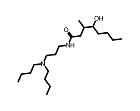 CCCCC(O)C(C)CC(=O)NCCCN(CCCC)CCCC